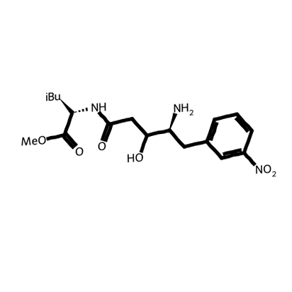 CC[C@H](C)[C@H](NC(=O)CC(O)[C@@H](N)Cc1cccc([N+](=O)[O-])c1)C(=O)OC